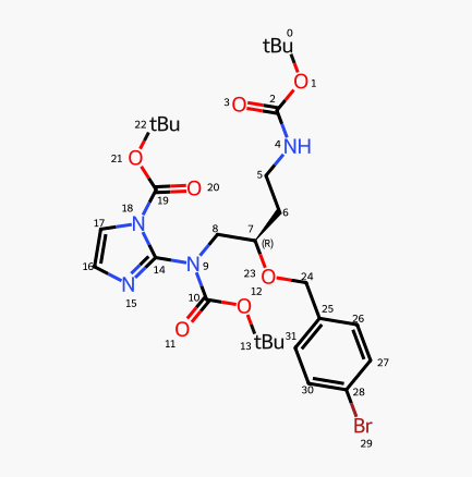 CC(C)(C)OC(=O)NCC[C@H](CN(C(=O)OC(C)(C)C)c1nccn1C(=O)OC(C)(C)C)OCc1ccc(Br)cc1